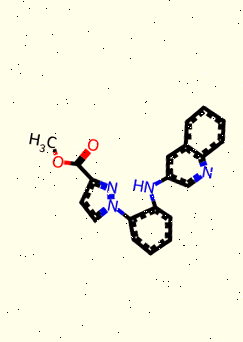 COC(=O)c1ccn(-c2ccccc2Nc2cnc3ccccc3c2)n1